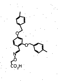 Cc1ccc(COc2ccc(/C=N/OCC(=O)O)c(OCc3ccc(C)cc3)c2)cc1